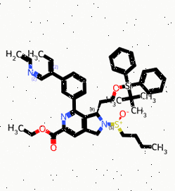 C=C/N=C\C(=C/C)c1cccc(-c2nc(C(=O)OCC)cc3c2[C@@H](CCO[Si](c2ccccc2)(c2ccccc2)C(C)(C)C)N([S@+]([O-])CCCC)C3)c1